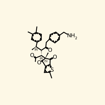 CC(=O)[C@H](C(C(=O)Cc1ccc(CN)cc1)[C@@H](C)c1ccc(C)c(C)c1)[C@@]1(C)C(=O)c2cc(C)sc2C1=O